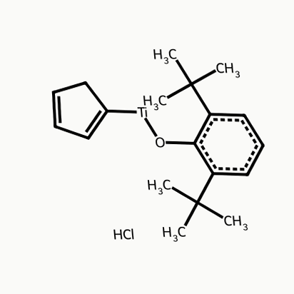 CC(C)(C)c1cccc(C(C)(C)C)c1[O][Ti][C]1=CC=CC1.Cl